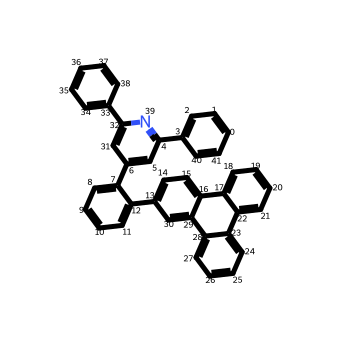 c1ccc(-c2cc(-c3ccccc3-c3ccc4c5ccccc5c5ccccc5c4c3)cc(-c3ccccc3)n2)cc1